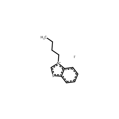 CCCC[n+]1csc2ccccc21.[I-]